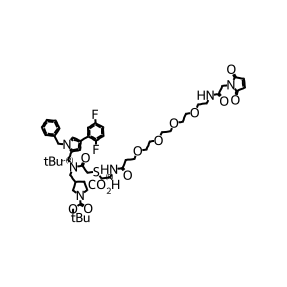 CC(C)(C)OC(=O)N1CCC(CN(C(=O)CSC[C@H](NC(=O)CCOCCOCCOCCOCCNC(=O)CN2C(=O)C=CC2=O)C(=O)O)[C@@H](c2cc(-c3cc(F)ccc3F)cn2Cc2ccccc2)C(C)(C)C)C1